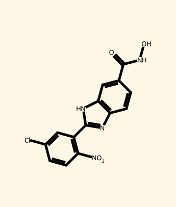 O=C(NO)c1ccc2nc(-c3cc(Cl)ccc3[N+](=O)[O-])[nH]c2c1